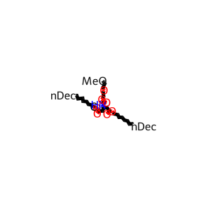 CCCCCCCCCCCCCCCCCCOC(=O)CC(CC(=O)OCCCCCCCCCCCCCCCCCC)NC(=O)OCCOCCOC